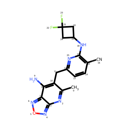 Cc1nc2nonc2c(N)c1Cc1ccc(C#N)c(NC2CC(F)(F)C2)n1